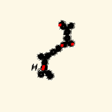 C=C(/C=C\C(=C/C)N(c1ccccc1)c1ccc2ccccc2c1)c1ccc(N(c2ccccc2)c2ccc(-c3ccc(-c4ccc(-c5ccc(N(c6ccccc6)c6ccc(-c7ccc(N(c8ccccc8)c8ccc9ccccc9c8)cc7)cc6)cc5)cc4)cc3)cc2)cc1